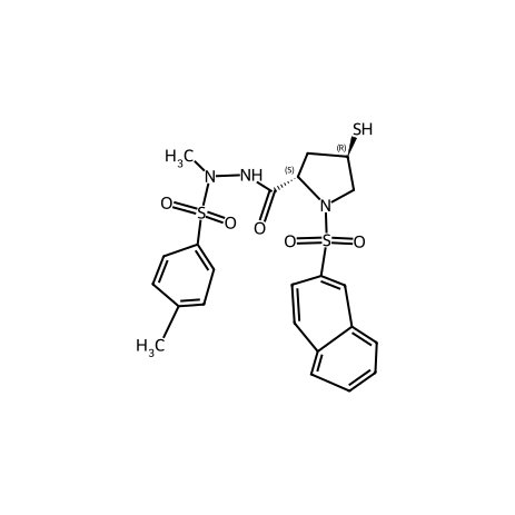 Cc1ccc(S(=O)(=O)N(C)NC(=O)[C@@H]2C[C@@H](S)CN2S(=O)(=O)c2ccc3ccccc3c2)cc1